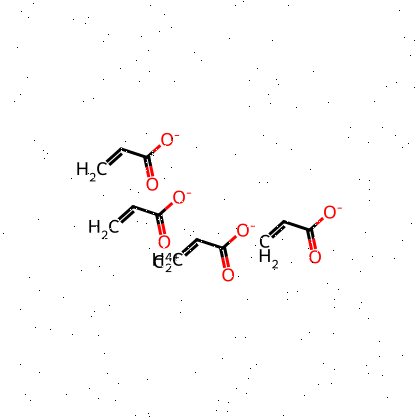 C=CC(=O)[O-].C=CC(=O)[O-].C=CC(=O)[O-].C=CC(=O)[O-].[C+4]